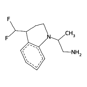 CC(CN)N1CCC(C(F)F)c2ccccc21